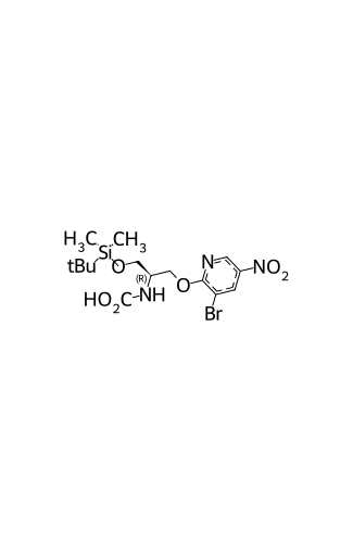 CC(C)(C)[Si](C)(C)OC[C@@H](COc1ncc([N+](=O)[O-])cc1Br)NC(=O)O